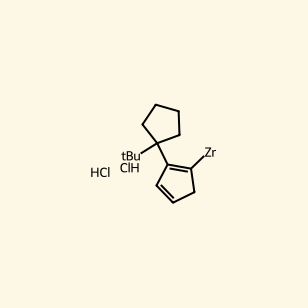 CC(C)(C)C1(C2=[C]([Zr])CC=C2)CCCC1.Cl.Cl